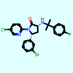 CC(C)(N[C@@H]1C[C@H](c2cccc(Br)c2)N(c2ccc(Cl)cn2)C1=O)c1ccc(F)cc1